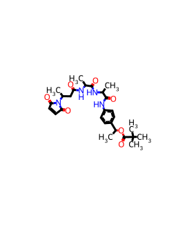 CC(NC(=O)CC(C)N1C(=O)C=CC1=O)C(=O)NC(C)C(=O)Nc1ccc(C(C)OC(=O)C(C)(C)C)cc1